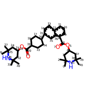 CC1(C)CC(OC(=O)c2cccc3ccc(C4CCC(C(=O)OC5CC(C)(C)NC(C)(C)C5)CC4)cc23)CC(C)(C)N1